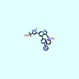 COc1ccc(CN2C3CC2CN(c2ccc(-c4cc(-c5cc(C(C)(C)O)nn5C)cn5ncc(C#N)c45)cn2)C3)cn1